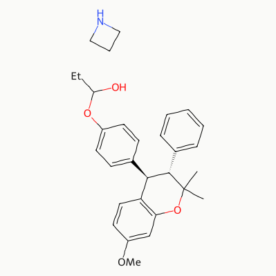 C1CNC1.CCC(O)Oc1ccc([C@@H]2c3ccc(OC)cc3OC(C)(C)[C@H]2c2ccccc2)cc1